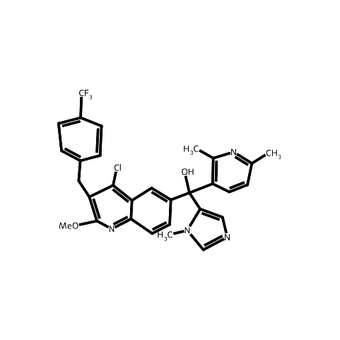 COc1nc2ccc(C(O)(c3ccc(C)nc3C)c3cncn3C)cc2c(Cl)c1Cc1ccc(C(F)(F)F)cc1